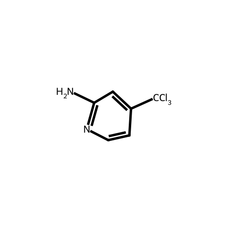 Nc1cc(C(Cl)(Cl)Cl)ccn1